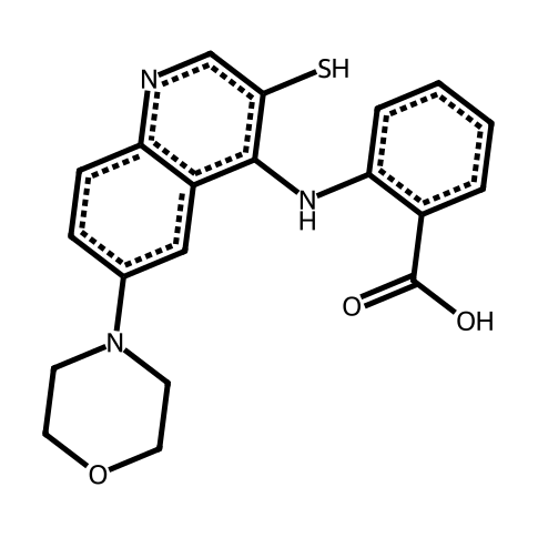 O=C(O)c1ccccc1Nc1c(S)cnc2ccc(N3CCOCC3)cc12